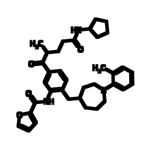 Cc1ccccc1N1CCCC(Cc2ccc(C(=O)C(C)CCC(=O)NC3CCCC3)cc2NC(=O)c2ccco2)CC1